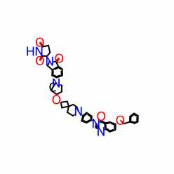 O=C1CCC(N2Cc3cc(N4CCC(OC5CC6(CCN(c7ccc(-n8cnc9ccc(OCc%10ccccc%10)cc9c8=O)cc7)CC6)C5)CC4)ccc3C2=O)C(=O)N1